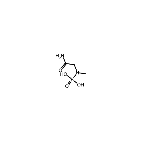 CN(CC(N)=O)P(=O)(O)O